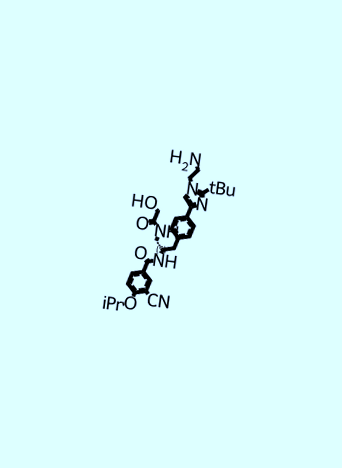 CC(C)Oc1ccc(C(=O)N[C@H](CNC(=O)CO)Cc2ccc(-c3cn(CCN)c(C(C)(C)C)n3)cc2)cc1C#N